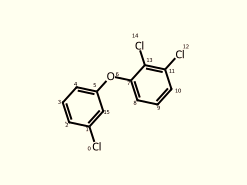 Clc1[c]ccc(Oc2cccc(Cl)c2Cl)c1